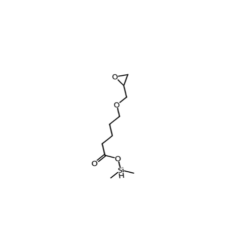 C[SiH](C)OC(=O)CCCCOCC1CO1